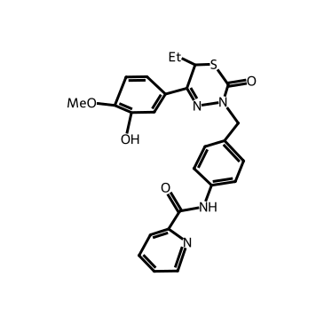 CCC1SC(=O)N(Cc2ccc(NC(=O)c3ccccn3)cc2)N=C1c1ccc(OC)c(O)c1